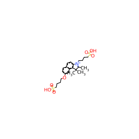 CC1=[N+](CCCCS(=O)(=O)O)c2ccc3ccc(OCCCCS(=O)(=O)O)cc3c2C1(C)C